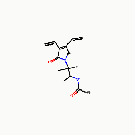 C=CC1=C(C=C)C(=O)N(C(C)(CC)C(C)NC(=O)C(C)(C)C)C1